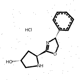 Cl.O[C@H]1CN[C@H](C2=N[C@H](c3ccccc3)CO2)C1